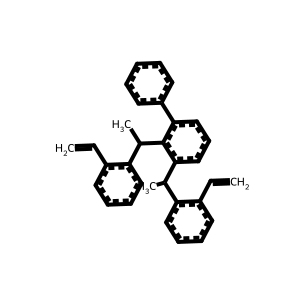 C=Cc1ccccc1C(C)c1cccc(-c2ccccc2)c1C(C)c1ccccc1C=C